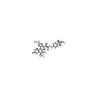 Cc1nc2nc(N[C@@H](C)c3cncc(F)c3)nc(C(=O)NCCc3ccc(S(N)(=O)=O)cc3)c2s1